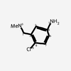 CNCc1cc(N)ccc1Cl